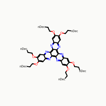 CCCCCCCCCCCCOc1cc2nc3c4nc5cc(OCCCCCCCCCCCC)c(OCCCCCCCCCCCC)cc5nc4c4nc5cc(OCCCCCCCCCCCC)c(OCCCCCCCCCCCC)cc5nc4c3nc2cc1OCCCCCCCCCCCC